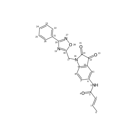 CC=CC(=O)Nc1ccc2c(c1)C(=O)C(=O)N2Cc1nc(-c2ccccc2)no1